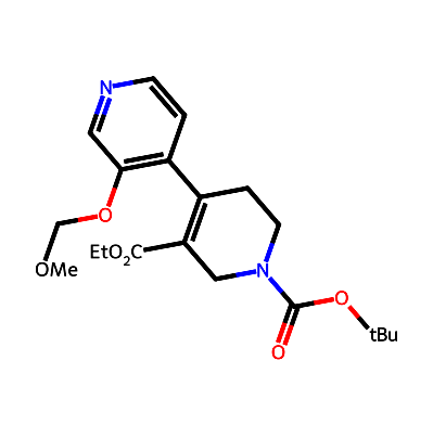 CCOC(=O)C1=C(c2ccncc2OCOC)CCN(C(=O)OC(C)(C)C)C1